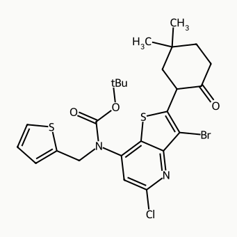 CC1(C)CCC(=O)C(c2sc3c(N(Cc4cccs4)C(=O)OC(C)(C)C)cc(Cl)nc3c2Br)C1